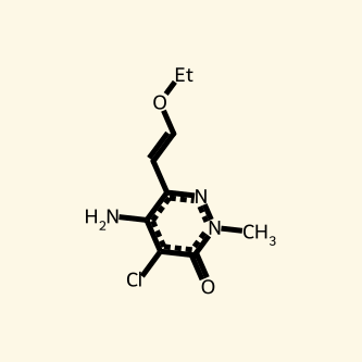 CCO/C=C/c1nn(C)c(=O)c(Cl)c1N